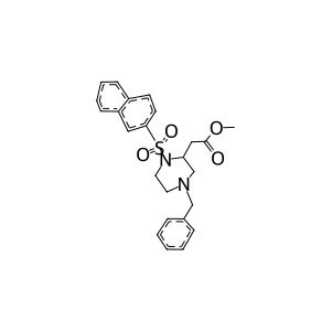 COC(=O)CC1CN(Cc2ccccc2)CCN1S(=O)(=O)c1ccc2ccccc2c1